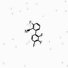 N#Cc1c(F)cccc1-c1ccc(F)c(F)c1F